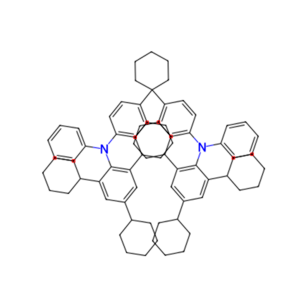 c1ccc(N(c2ccc(C3(c4ccc(N(c5ccccc5)c5c(C6CCCCC6)cc(C6CCCCC6)cc5C5CCCCC5)cc4)CCCCC3)cc2)c2c(C3CCCCC3)cc(C3CCCCC3)cc2C2CCCCC2)cc1